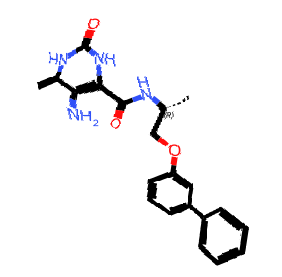 C=C1NC(=O)NC(C(=O)N[C@H](C)COc2cccc(-c3ccccc3)c2)=C1N